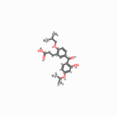 CC(C)COc1ccc(C(=O)c2ccc(OC(C)C)cc2O)cc1CCC(=O)O